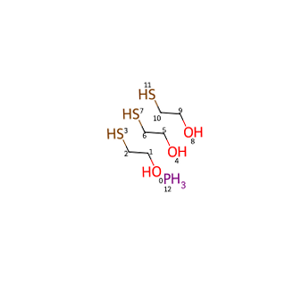 OCCS.OCCS.OCCS.P